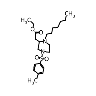 CCCCCCCN1CCN(S(=O)(=O)c2ccc(C)cc2)CC1CC(=O)OCC